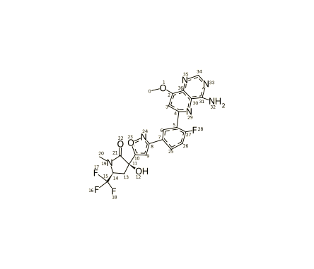 COc1cc(-c2cc(-c3cc([C@]4(O)C[C@@H](C(F)(F)F)N(C)C4=O)on3)ccc2F)nc2c(N)ncnc12